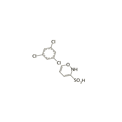 Clc1cc(Cl)cc(Cl)c1.O=S(=O)(O)C1=CC=CON1